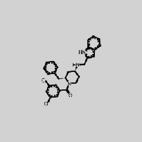 O=C(c1cc(Cl)cc(Cl)c1)N1CC[C@H](NCc2cc3ccccc3[nH]2)C[C@@H]1Cc1ccccc1